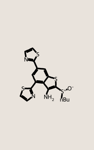 CCCC[S+]([O-])c1sc2cc(-c3nccs3)cc(-c3nccs3)c2c1N